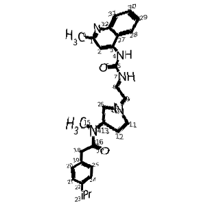 Cc1cc(NC(=O)NCCN2CCC(N(C)C(=O)Cc3ccc(C(C)C)cc3)C2)c2ccccc2n1